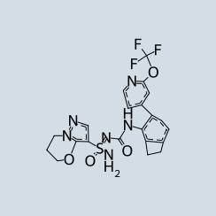 NS(=O)(=NC(=O)Nc1c(-c2ccnc(OC(F)(F)F)c2)ccc2c1CC2)c1cnn2c1OCCC2